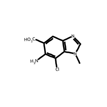 Cn1cnc2cc(C(=O)O)c(N)c(Cl)c21